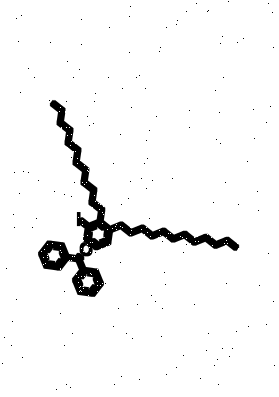 CCCCCCCCCCCCc1cccc(I)c1CCCCCCCCCCCC.O=C(c1ccccc1)c1ccccc1